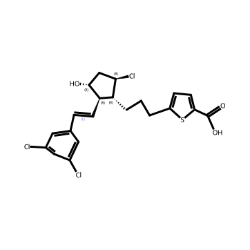 O=C(O)c1ccc(CCC[C@@H]2[C@@H](/C=C/c3cc(Cl)cc(Cl)c3)[C@H](O)C[C@H]2Cl)s1